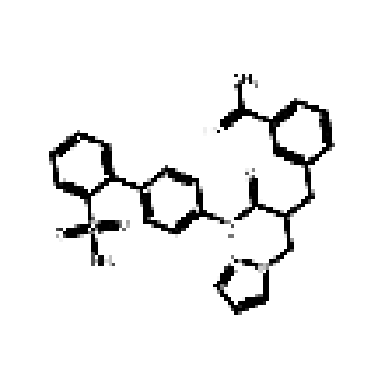 N=C(N)c1cccc(CC(Cn2cccn2)C(=O)Nc2ccc(-c3ccccc3S(N)(=O)=O)cc2)c1